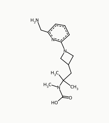 CN(C(=O)O)C(C)(C)CC1CN(c2cccc(CN)n2)C1